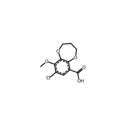 COc1c(Cl)cc(C(=O)O)c2c1OCCCO2